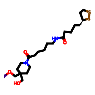 O=C(CCCC[C@@H]1CCSS1)NCCCCCC(=O)N1CCC(CO)(COI)CC1